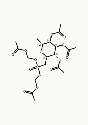 CC(=O)OCOP(=O)(C[C@H]1O[C@@H](C)[C@@H](OC(C)=O)[C@@H](OC(C)=O)[C@@H]1OC(C)=O)OCOC(C)=O